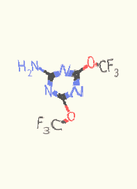 Nc1nc(OC(F)(F)F)nc(OC(F)(F)F)n1